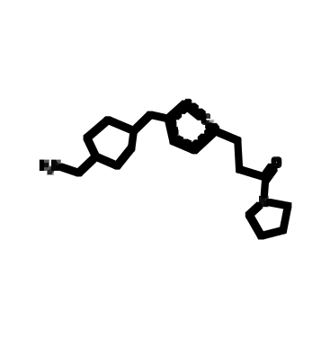 NCC1CCC(Cc2ccc(CCC(=O)N3CCCC3)cc2)CC1